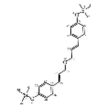 C[Si](C)(C)Oc1ccc(C=CCOCC=Cc2ccc(O[Si](C)(C)C)cc2)cc1